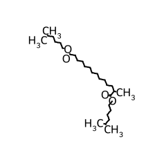 CC(C)CCCCOC(=O)CCCCCCCCCCCC(C)C(=O)OCCCCC(C)C